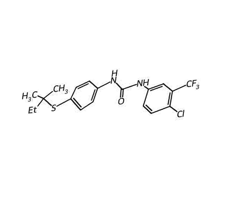 CCC(C)(C)Sc1ccc(NC(=O)Nc2ccc(Cl)c(C(F)(F)F)c2)cc1